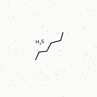 CCCCCC.S